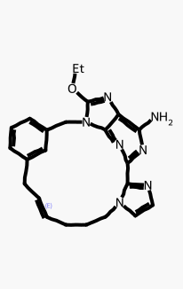 CCOc1nc2c(N)nc3nc2n1Cc1cccc(c1)C/C=C/CCCn1ccnc1-3